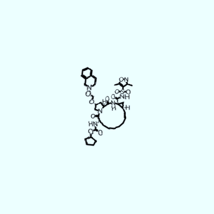 Cc1noc(C)c1S(=O)(=O)NC(=O)[C@@]12C[C@H]1/C=C\CCCCC[C@H](NC(=O)OC1CCCC1)C(=O)N1C[C@H](OCON3CCc4ccccc4C3)C[C@H]1C(=O)N2